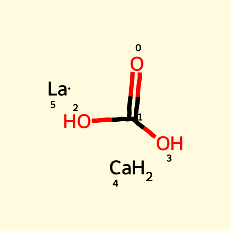 O=C(O)O.[CaH2].[La]